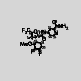 COc1c([C@@H]2C(C)=C(C(F)(F)F)O[C@H]2C(=O)Nc2ccnc(C(N)=O)c2)ccc(F)c1F